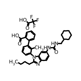 CCCCc1nc2ccc(NC(=O)NCC3CCCCC3)cc2n1-c1cccc(-c2ccccc2C(=O)O)c1C.O=C(O)C(F)(F)F